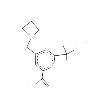 Cl.Cl.O=C(O)c1cc(CN2CCC2)nc(C(F)(F)F)n1